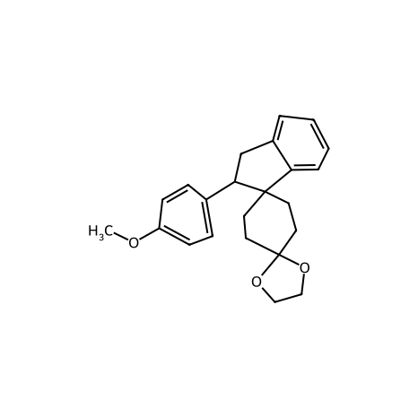 COc1ccc(C2Cc3ccccc3C23CCC2(CC3)OCCO2)cc1